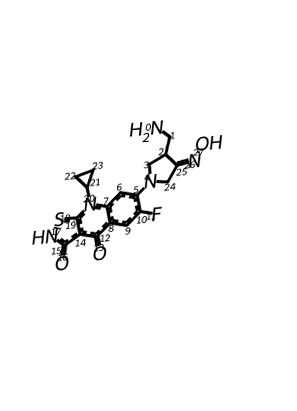 NCC1CN(c2cc3c(cc2F)c(=O)c2c(=O)[nH]sc2n3C2CC2)C/C1=N/O